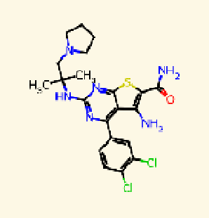 CC(C)(CN1CCCC1)Nc1nc(-c2ccc(Cl)c(Cl)c2)c2c(N)c(C(N)=O)sc2n1